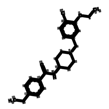 CCOc1cc(CN2CCC(NC(=O)c3ccc(CC)cc3)CC2)ccc1Cl